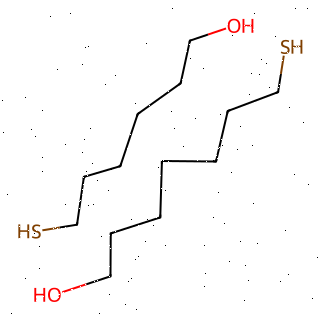 OCCCCCCCS.OCCCCCCS